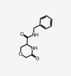 O=C1COCC(C(=O)NCc2ccccc2)N1